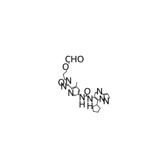 Cc1cc(NC(=O)Nc2cnc3ccnn3c2C2CCCC2)cnc1-c1noc(CCOCC=O)n1